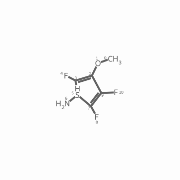 COC1=C(F)[SH](N)C(F)=C1F